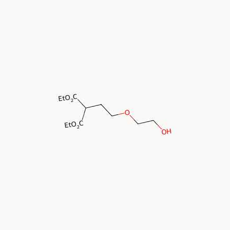 CCOC(=O)C(CCOCCO)C(=O)OCC